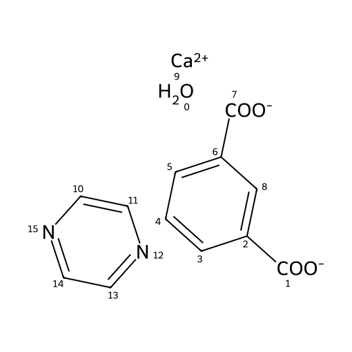 O.O=C([O-])c1cccc(C(=O)[O-])c1.[Ca+2].c1cnccn1